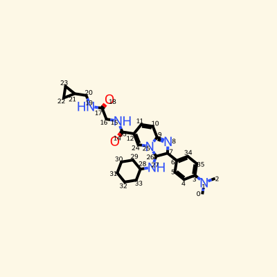 CN(C)c1ccc(C2N=C3C=CC(C(=O)NCC(=O)NCC4CC4)=CN3C2NC2CCCCC2)cc1